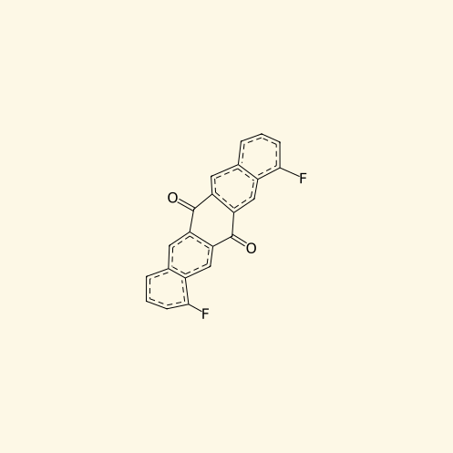 O=C1c2cc3cccc(F)c3cc2C(=O)c2cc3c(F)cccc3cc21